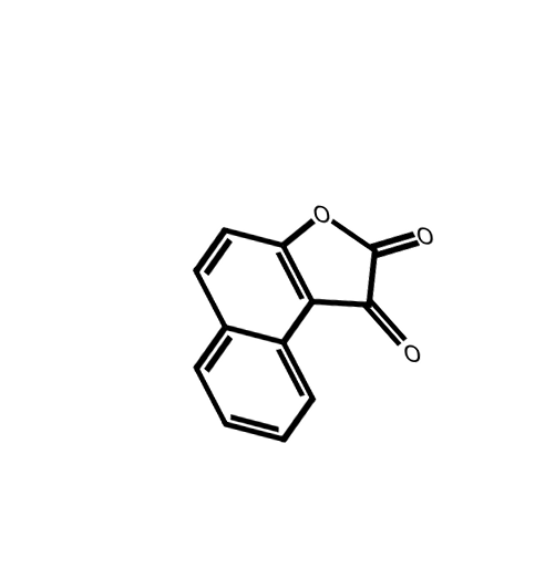 O=C1Oc2ccc3ccccc3c2C1=O